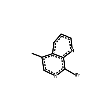 Cc1cnc(C(C)C)c2ncccc12